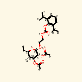 CC[C@H]1O[C@H](OCCOC(=O)Oc2c(C(C)C)cccc2C(C)C)[C@H](OC(C)=O)[C@@H](OC(C)=O)[C@@H]1C